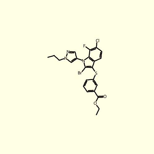 CCCn1cc(-n2c(Br)c(Sc3cccc(C(=O)OCC)c3)c3ccc(Cl)c(F)c32)cn1